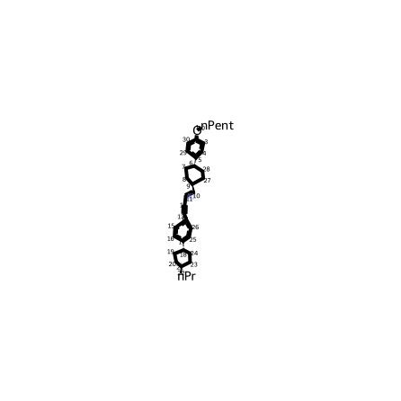 CCCCCOc1ccc([C@H]2CC[C@H](/C=C/C#Cc3ccc([C@H]4CC[C@H](CCC)CC4)cc3)CC2)cc1